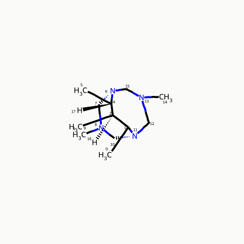 CC1[C@@H](C)[C@H](C)[N@]2CN(C)C[N@@]1CN(C)C2